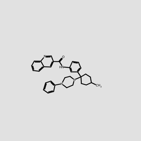 CC1CCC(c2cccc(NC(=O)c3cnc4ccccc4c3)c2)(N2CCN(c3ccccc3)CC2)CC1